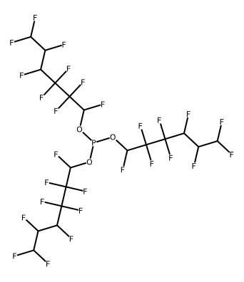 FC(F)C(F)C(F)C(F)(F)C(F)(F)C(F)OP(OC(F)C(F)(F)C(F)(F)C(F)C(F)C(F)F)OC(F)C(F)(F)C(F)(F)C(F)C(F)C(F)F